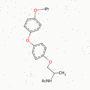 CC(=O)NC(C)COc1ccc(Oc2ccc(OC(C)C)cc2)cc1